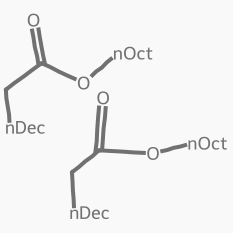 CCCCCCCCCCCC(=O)OCCCCCCCC.CCCCCCCCCCCC(=O)OCCCCCCCC